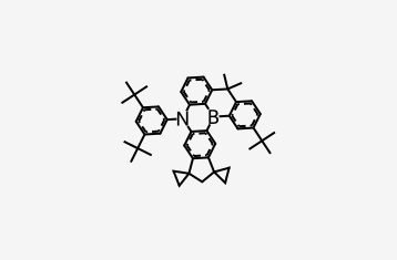 CC(C)(C)c1cc(N2c3cc4c(cc3B3c5cc(C(C)(C)C)ccc5C(C)(C)c5cccc2c53)C2(CC2)CC42CC2)cc(C(C)(C)C)c1